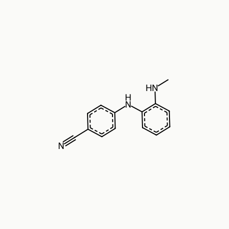 CNc1ccccc1Nc1ccc(C#N)cc1